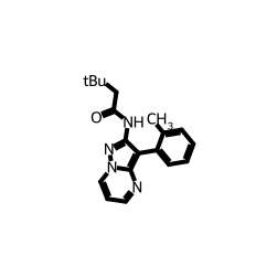 Cc1ccccc1-c1c(NC(=O)CC(C)(C)C)nn2cccnc12